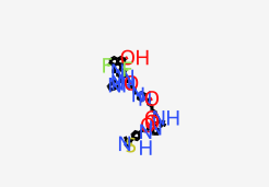 C#Cc1c(F)ccc2cc(O)cc(-c3ncc4c(N5CC6CCC(C5)N6)nc(OCCCN5CCN(C(=O)CCCCC(=O)N[C@H](C(=O)N6CCC[C@H]6C(=O)NCC6C=CC(c7scnc7C)=CC6)C(C)(C)C)CC5)nc4c3F)c12